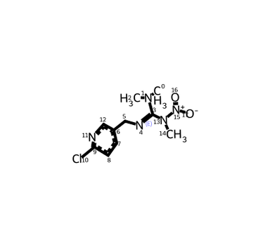 CN(C)/C(=N\Cc1ccc(Cl)nc1)N(C)[N+](=O)[O-]